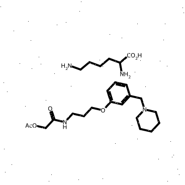 CC(=O)OCC(=O)NCCCOc1cccc(CN2CCCCC2)c1.NCCCCC(N)C(=O)O